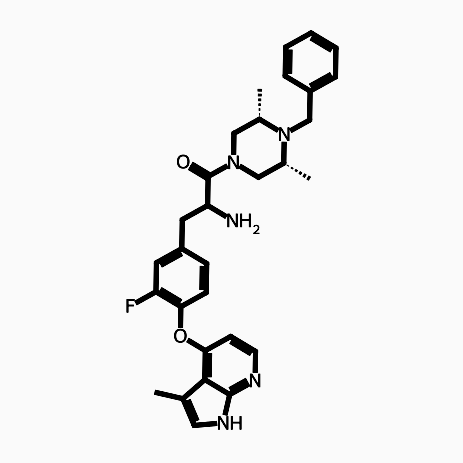 Cc1c[nH]c2nccc(Oc3ccc(CC(N)C(=O)N4C[C@@H](C)N(Cc5ccccc5)[C@@H](C)C4)cc3F)c12